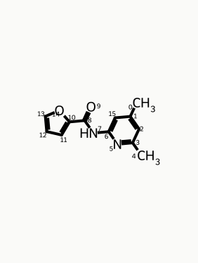 Cc1cc(C)nc(NC(=O)c2ccco2)c1